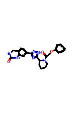 O=C1NCc2ccc(-c3n[nH]c(C4CCCCN4C(=O)COc4ccccc4)n3)cc2N1